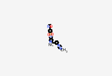 CN1CCN(c2cccc(C(C#N)c3cc4c(cn3)CN(S(=O)(=O)c3ccc(-c5ncco5)cc3)C4)c2)CC1